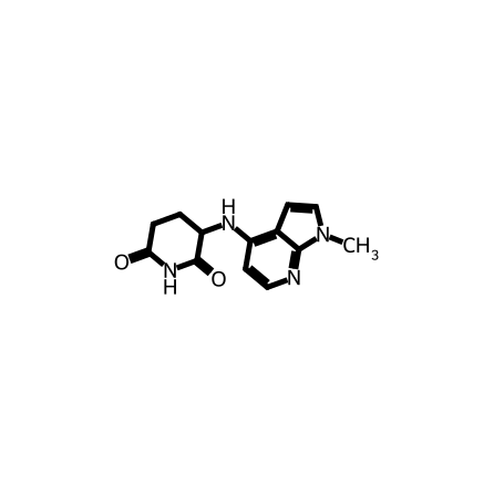 Cn1ccc2c(NC3CCC(=O)NC3=O)ccnc21